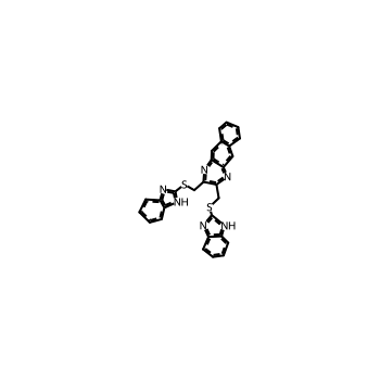 c1ccc2cc3nc(CSc4nc5ccccc5[nH]4)c(CSc4nc5ccccc5[nH]4)nc3cc2c1